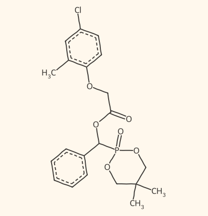 Cc1cc(Cl)ccc1OCC(=O)OC(c1ccccc1)P1(=O)OCC(C)(C)CO1